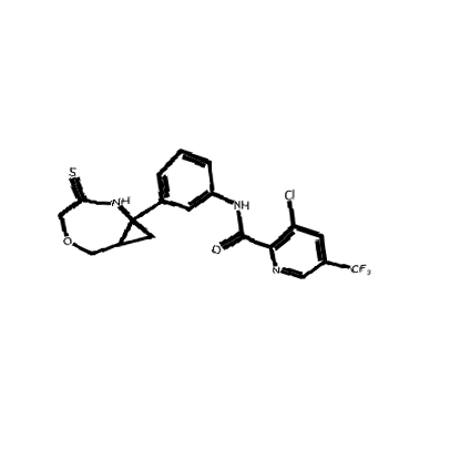 O=C(Nc1cccc(C23CC2COCC(=S)N3)c1)c1ncc(C(F)(F)F)cc1Cl